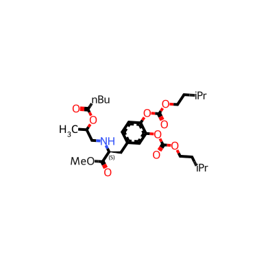 CCCCC(=O)OC(C)CN[C@@H](Cc1ccc(OC(=O)OCCC(C)C)c(OC(=O)OCCC(C)C)c1)C(=O)OC